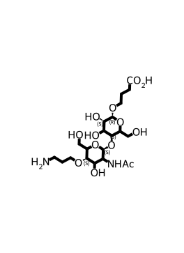 CC(=O)NC1C(O)[C@H](OCCCN)C(CO)O[C@H]1O[C@@H]1C(CO)O[C@@H](OCCCC(=O)O)[C@@H](O)C1O